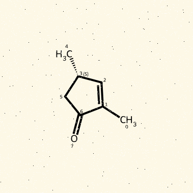 CC1=C[C@@H](C)CC1=O